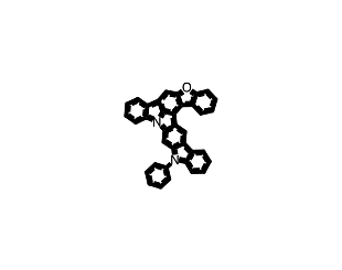 c1ccc(-n2c3ccccc3c3cc4c5c6c(cc7c8ccccc8n(c4cc32)c75)oc2ccccc26)cc1